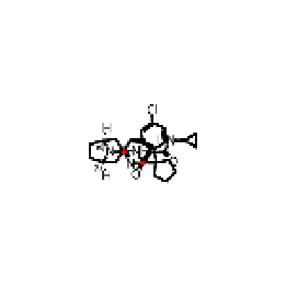 O=C(NC1CC1)c1ccc(N2[C@@H]3CC[C@H]2C[C@@H](NC(=O)C2(c4ccc(Cl)cc4)CCCC2)C3)nc1